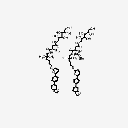 CC(C)(CCCCOc1cccc(-c2ccc(-c3ccc4c(c3)OCO4)cc2)n1)CNC(=O)C(CC(=O)NCC(O)C(O)C(O)C(O)CO)NC(=O)OC(C)(C)C.CC(C)(CCCCOc1cccc(-c2ccc(-c3ccc4c(c3)OCO4)cc2)n1)CNC(=O)C(N)CC(=O)NCC(O)C(O)C(O)C(O)CO